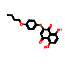 CCCCOc1ccc(SC2=CC(=O)c3c(O)ccc(O)c3C2=O)cc1